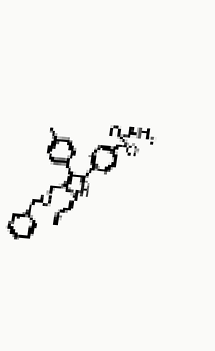 C=CCn1nc(-c2ccc(S(N)(=O)=O)cc2)c(-c2ccc(C)cc2)c1COCc1ccccc1